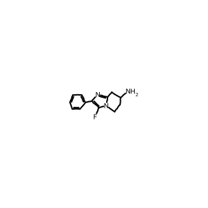 NC1CCn2c(nc(-c3ccccc3)c2F)C1